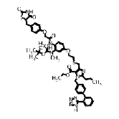 CCCc1nc(CSCCOc2ccc(NC(=O)COc3ccc(CC4SC(=O)NC4=O)cc3)c(N(C)C(=O)OC(C)(C)C)c2)c(C(=O)OCC)n1Cc1ccc(-c2ccccc2-c2nnn[nH]2)cc1